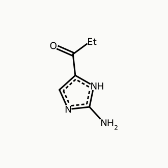 CCC(=O)c1cnc(N)[nH]1